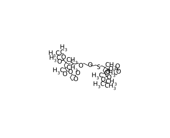 CC(C)(C)OC(=O)C(C)(C)CC(C)(CSCCOCCOCCSCC(C)(CC(C)(C)C(=O)OC1CCOC1=O)C(=O)OC(C)(C)C)C(=O)OC1CCOC1=O